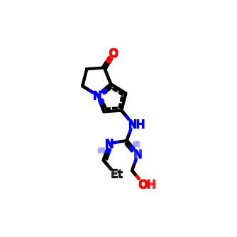 CC/C=N\C(=N/CO)Nc1cc2n(c1)CCC2=O